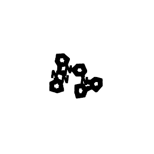 c1cc(-n2c3ccccc3c3ccccc32)cc(-n2c3ccccc3c3nc4ccccc4nc32)c1